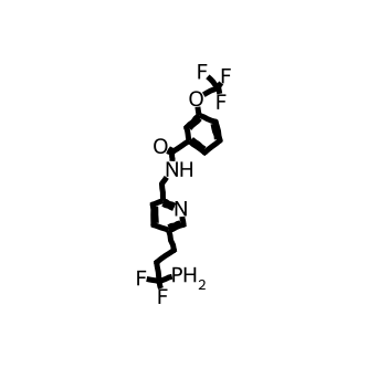 O=C(NCc1ccc(CCC(F)(F)P)cn1)c1cccc(OC(F)(F)F)c1